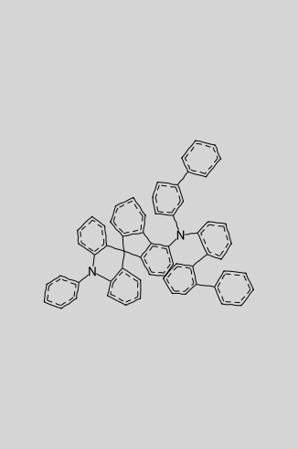 c1ccc(-c2cccc(N(c3ccccc3-c3ccccc3-c3ccccc3)c3cccc4c3-c3ccccc3C43c4ccccc4N(c4ccccc4)c4ccccc43)c2)cc1